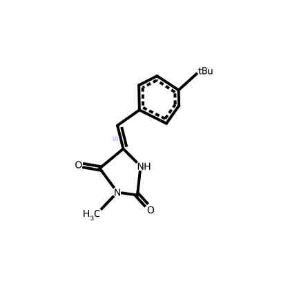 CN1C(=O)N/C(=C\c2ccc(C(C)(C)C)cc2)C1=O